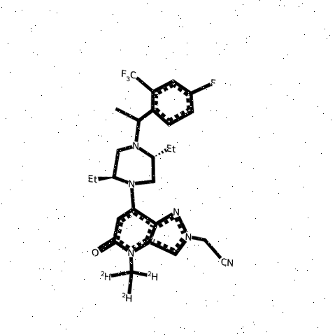 [2H]C([2H])([2H])n1c(=O)cc(N2C[C@@H](CC)N(C(C)c3ccc(F)cc3C(F)(F)F)C[C@@H]2CC)c2nn(CC#N)cc21